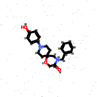 O=C1COC2(CCN(c3ccc(O)cc3)CC2)CN1Cc1ccccc1